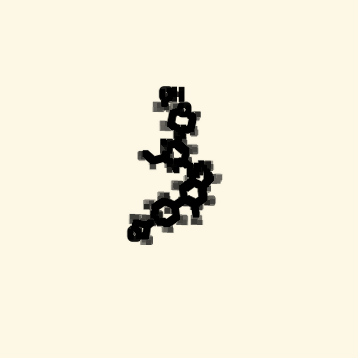 CCc1nc(N2CCO[C@@H](CO)C2)cc(-n2ncc3cc(C)c(C4CCN(C5COC5)CC4)cc32)n1